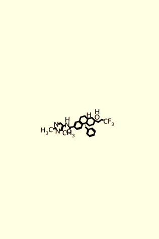 Cc1ncc(NC(=O)c2ccc3c(c2)CC[C@@H]2C[C@@](O)(CCC(F)(F)F)CC[C@@]32Cc2ccccc2)c(C)n1